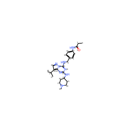 CCC(=O)Nc1ccc(CNc2nc(NC3CCN(C)CC3)nc3c(C(C)C)cnn23)cc1